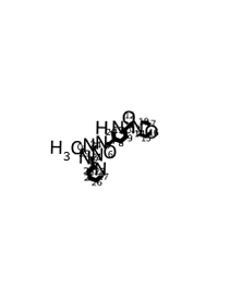 Cc1nc(NC(=O)c2ccc(C(=O)N3CCOCC3)nc2)nc(-c2ccccn2)n1